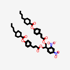 CCCCC1CCC(C(=O)Oc2ccc(/C=C/C(=O)OCC(COC(=O)/C=C/c3ccc(OC(=O)C4CCC(CCCC)CC4)cc3)c3ccc([N+](=O)[O-])cc3[N+](=O)[O-])cc2)CC1